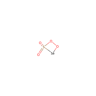 O=S1(=O)OO[Se]1